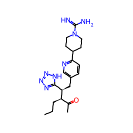 CCC[C@H](C(C)=O)[C@H](Cc1ccc(C2CCN(C(=N)N)CC2)nc1)c1nnn[nH]1